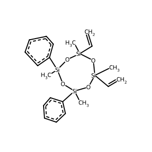 C=C[Si]1(C)O[Si](C)(C=C)O[Si](C)(c2ccccc2)O[Si](C)(c2ccccc2)O1